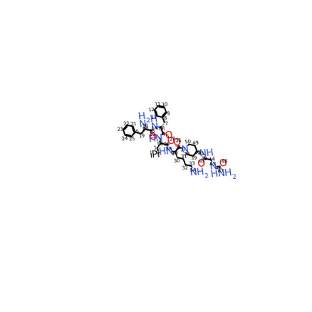 CC(C)C[C@@H](NC(=O)[C@@H](Cc1ccccc1)NC(=O)[C@H](N)Cc1ccccc1)C(=O)N[C@H](CCCCN)C(=O)N1CCC(NC(=O)CNC(N)=O)CC1